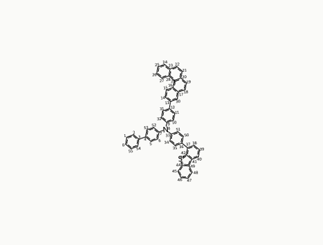 c1ccc(-c2ccc(N(c3ccc(-c4ccc5c(ccc6ccc7ccccc7c65)c4)cc3)c3ccc(-c4cccc5c4sc4ccccc45)cc3)cc2)cc1